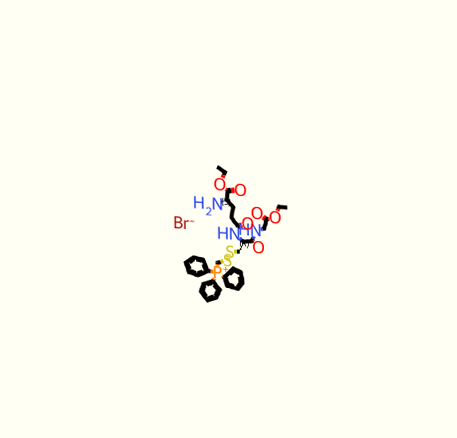 CCOC(=O)CNC(=O)[C@H](CSSC[P+](c1ccccc1)(c1ccccc1)c1ccccc1)NC(=O)CC[C@H](N)C(=O)OCC.[Br-]